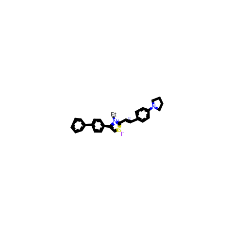 CC[n+]1c(-c2ccc(-c3ccccc3)cc2)csc1/C=C/c1ccc(N2CCCC2)cc1.[I-]